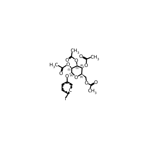 CC(=O)OC[C@H]1O[C@H](Oc2ccc(I)cc2)[C@@H](OC(C)=O)[C@@H](OC(C)=O)[C@@H]1OC(C)=O